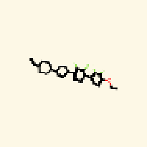 C=CC1CCC(C2C=CC(c3ccc(-c4ccc(OCC)c(F)c4F)c(F)c3F)CC2)CC1